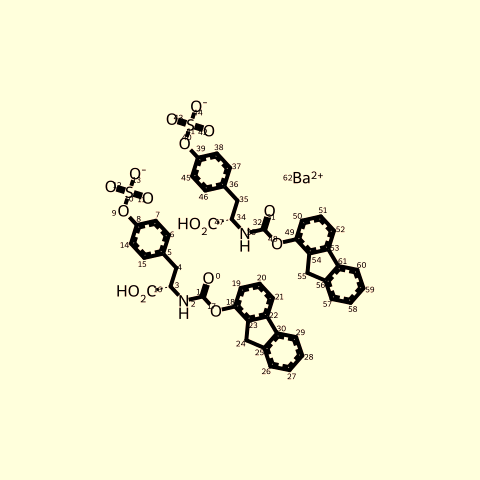 O=C(N[C@@H](Cc1ccc(OS(=O)(=O)[O-])cc1)C(=O)O)Oc1cccc2c1Cc1ccccc1-2.O=C(N[C@@H](Cc1ccc(OS(=O)(=O)[O-])cc1)C(=O)O)Oc1cccc2c1Cc1ccccc1-2.[Ba+2]